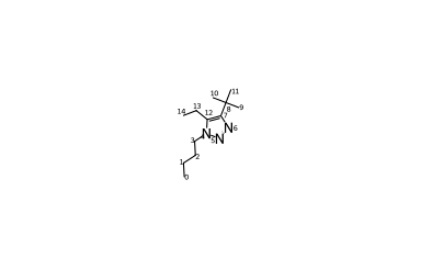 CCCCn1nnc(C(C)(C)C)c1CC